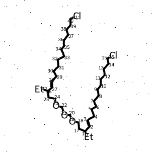 CCC(C=CCCCCCCCCCCCCCl)CCOCOCOCCC(C=CCCCCCCCCCCCCCl)CC